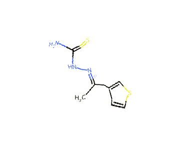 C/C(=N\NC(N)=S)c1ccsc1